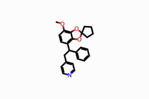 COc1ccc(C(Cc2ccncc2)c2ccccc2)c2c1OC1(CCCC1)O2